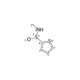 CN[S+]([O-])c1cccs1